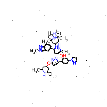 CC1=CC=C(c2ccc3nn(C)cc3c2)N(C2CC(C)(C)NC(C)(C)C2)N1.CC1CC(Oc2ccc(-c3ccc(-n4cccn4)cc3O)nn2)CC(C)N1